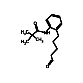 CC(C)(C)C(=O)Nc1ccccc1CCCC[C]=O